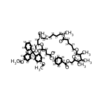 COc1ccc(C(OC[C@H](CN(C)CCCCCCN(C)C(=O)CCCCOC2OC(COC(=O)c3ccccc3)C(C)C(C)C2C)OC(=O)CCC(C)=O)(c2ccccc2)c2ccc(OC)cc2)cc1